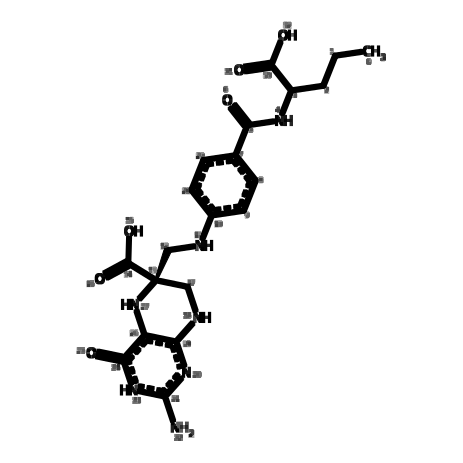 CCCC(NC(=O)c1ccc(NC[C@@]2(C(=O)O)CNc3nc(N)[nH]c(=O)c3N2)cc1)C(=O)O